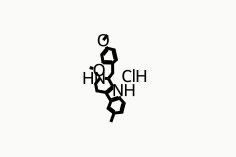 COc1ccc(CC2NCCc3c2[nH]c2ccc(C)cc32)c(OC)c1.Cl